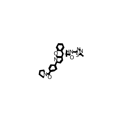 Cc1nnc(NC(=O)C(C)(C)[C@H]2c3ccccc3Oc3nc(-c4ccc(C(=O)N5CCCC5)cc4)ccc32)s1